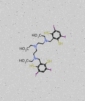 O=C(O)CN(CCN(CC(=O)O)Cc1c(S)c(I)cc(I)c1S)CCN(CC(=O)O)Cc1c(S)c(I)cc(I)c1S